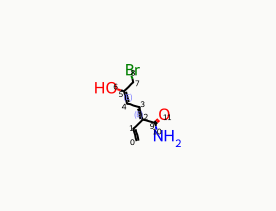 C=C/C(=C\C=C(\O)CBr)C(N)=O